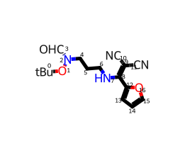 CC(C)(C)ON(C=O)CCCNC(=C(C#N)C#N)c1ccco1